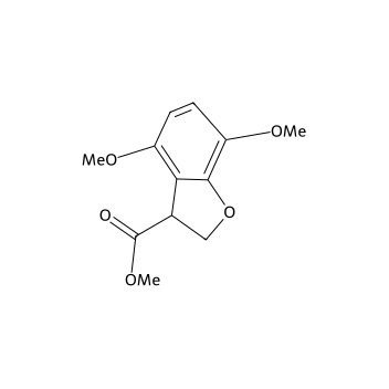 COC(=O)C1COc2c(OC)ccc(OC)c21